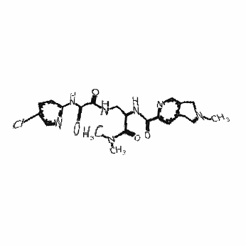 CN1Cc2cnc(C(=O)NC(CNC(=O)C(=O)Nc3ccc(Cl)cn3)C(=O)N(C)C)cc2C1